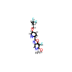 CCCOc1ncc2nc(-c3ccc(OC[C@H]4CC4(F)F)cn3)oc2c1F